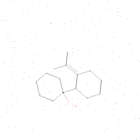 CC(C)=C1CCCCC1C1(O)CCCCC1